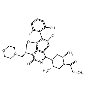 C=CC(=O)N1C[C@H](C)N(c2nc(=O)n3c4c(c(-c5c(O)cccc5F)c(Cl)cc24)OC[C@@H]3CN2CCOCC2)C[C@H]1C